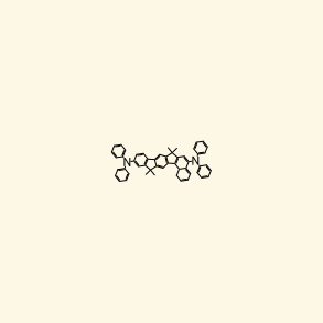 CC1(C)C2=C(c3cc4c(cc31)-c1ccc(N(c3ccccc3)c3ccccc3)cc1C4(C)C)C1CC=CC=C1C(N(c1ccccc1)c1ccccc1)=C2